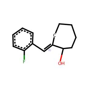 OC1CCCCC/C1=C\c1ccccc1F